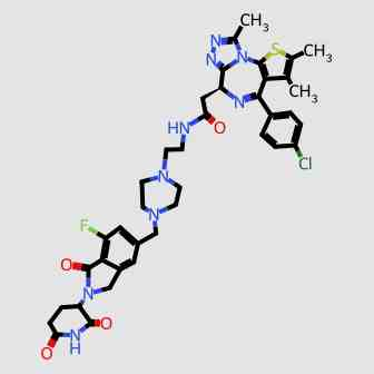 Cc1sc2c(c1C)C(c1ccc(Cl)cc1)=N[C@@H](CC(=O)NCCN1CCN(Cc3cc(F)c4c(c3)CN(C3CCC(=O)NC3=O)C4=O)CC1)c1nnc(C)n1-2